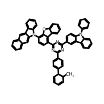 CC1C=CC=CC1c1ccc(-c2nc(-c3ccc4c(c3)c3ccccc3n4-c3ccccc3)nc(-c3ccc(-n4c5ccccc5c5cc6ccccc6cc54)c4oc5ccccc5c34)n2)cc1